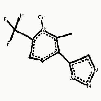 Cc1c(-c2cnns2)ccc(C(F)(F)F)[n+]1[O-]